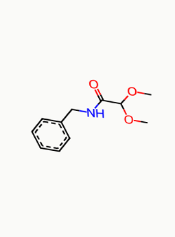 COC(OC)C(=O)NCc1ccccc1